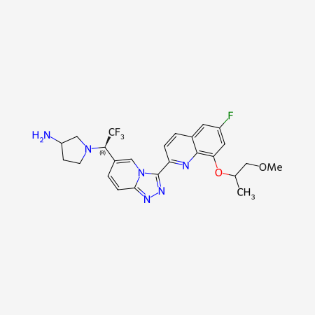 COCC(C)Oc1cc(F)cc2ccc(-c3nnc4ccc([C@@H](N5CCC(N)C5)C(F)(F)F)cn34)nc12